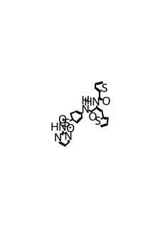 O=C(NC1=CCC(S(=O)(=O)Nc2ncccn2)C=C1)/C(=C\c1cccs1)NC(=O)c1cccs1